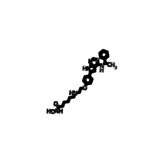 CC(Nc1ncnc2[nH]c(-c3ccc(OCCNCCCCCC(=O)NO)cc3)cc12)c1ccccc1